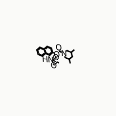 CC1CC(C)CN(C(=O)Oc2ccc3ccccc3c2NS(C)(=O)=O)C1